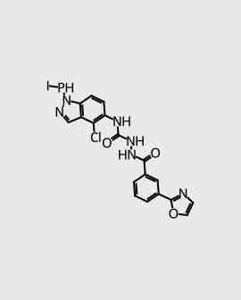 O=C(NNC(=O)c1cccc(-c2ncco2)c1)Nc1ccc2c(cnn2PI)c1Cl